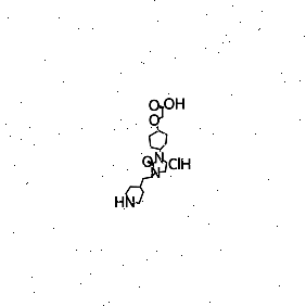 Cl.O=C(O)CO[C@H]1CC[C@H](N2CCN(CCC3CCNCC3)C2=O)CC1